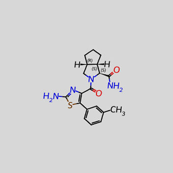 Cc1cccc(-c2sc(N)nc2C(=O)N2C[C@@H]3CCC[C@@H]3[C@H]2C(N)=O)c1